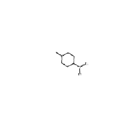 CCN(CC)C1CCN(C)CC1